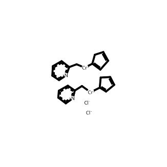 C1=CC[C]([Cr+][CH2]c2ccccn2)=C1.C1=CC[C]([Cr+][CH2]c2ccccn2)=C1.[Cl-].[Cl-]